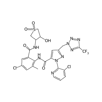 Cc1cc(Cl)cc(C(=O)NC2CS(=O)(=O)CC2O)c1NC(=O)c1cc(Cn2nnc(C(F)(F)F)n2)nn1-c1ncccc1Cl